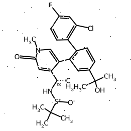 C[C@H](N[S+]([O-])C(C)(C)C)c1cc(=O)n(C)cc1-c1cc(C(C)(C)O)ccc1-c1ccc(F)cc1Cl